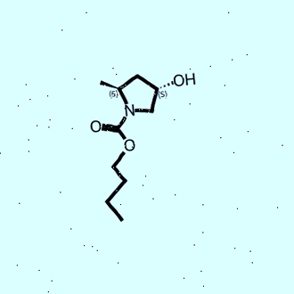 CCCCOC(=O)N1C[C@@H](O)C[C@@H]1C